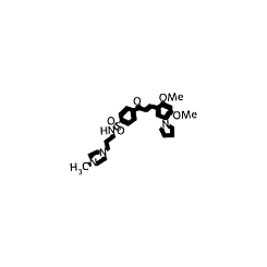 COc1cc(OC)c(N2CCCC2)cc1C=CC(=O)c1ccc(S(=O)(=O)NCCCN2CCN(C)CC2)cc1